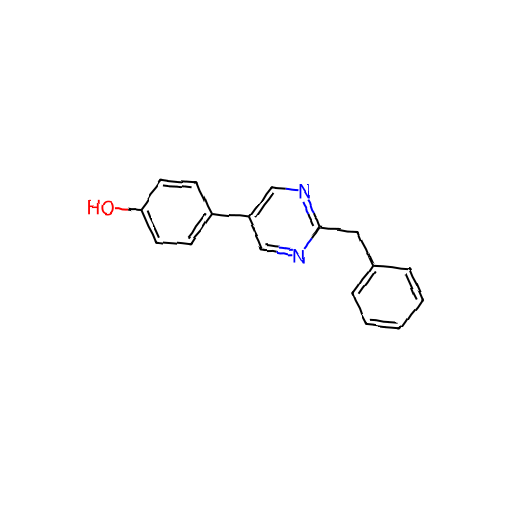 Oc1ccc(-c2cnc(Cc3ccccc3)nc2)cc1